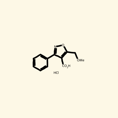 COCc1onc(-c2ccccc2)c1C(=O)O.Cl